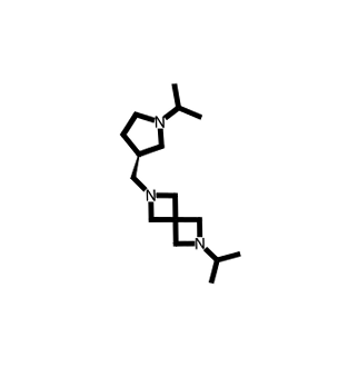 CC(C)N1CC[C@H](CN2CC3(C2)CN(C(C)C)C3)C1